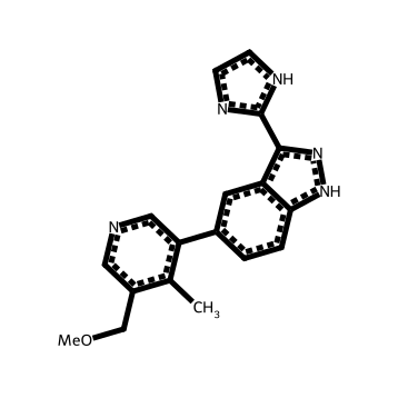 COCc1cncc(-c2ccc3[nH]nc(-c4ncc[nH]4)c3c2)c1C